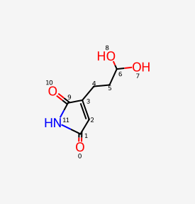 O=C1C=C(CCC(O)O)C(=O)N1